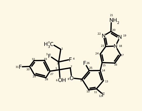 CCC(F)(F)C(O)(COc1cc(F)cc(-c2ccn3nc(N)nc3c2)c1F)c1ccc(F)cc1